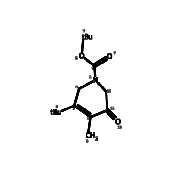 CC1=C(C(C)(C)C)CN(C(=O)OC(C)(C)C)CC1=O